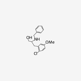 COc1ccc(Cl)c(CC(CO)NCc2ccccc2)c1